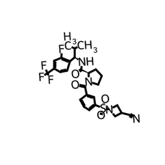 CC(C)[C@@H](NC(=O)[C@H]1CCCN1C(=O)c1cccc(S(=O)(=O)N2CC(C#N)C2)c1)c1ccc(C(F)(F)F)cc1F